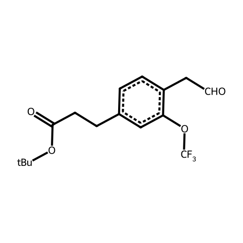 CC(C)(C)OC(=O)CCc1ccc(CC=O)c(OC(F)(F)F)c1